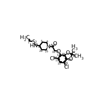 C=CSNC1CCN(C(=O)COc2c(Cl)cc(Cl)c3c2OC(C)(C)O3)CC1